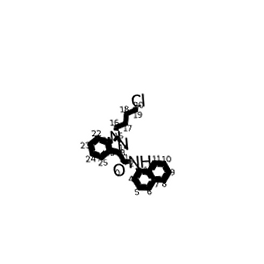 O=C(Nc1cccc2ccccc12)c1nn(CCCCCl)c2ccccc12